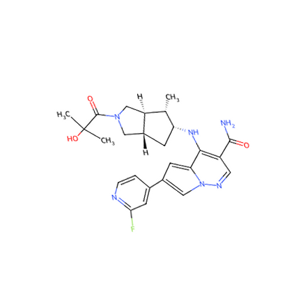 C[C@H]1[C@@H]2CN(C(=O)C(C)(C)O)C[C@H]2C[C@H]1Nc1c(C(N)=O)cnn2cc(-c3ccnc(F)c3)cc12